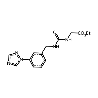 CCOC(=O)CNC(=O)NCc1cccc(-n2cncn2)c1